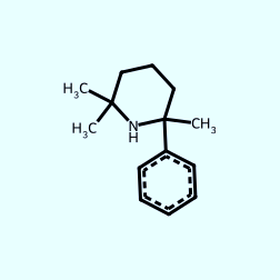 CC1(C)CCCC(C)(c2ccccc2)N1